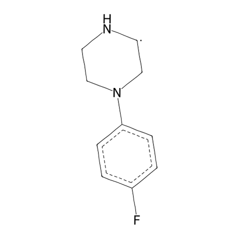 Fc1ccc(N2C[CH]NCC2)cc1